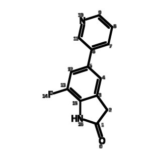 O=C1Cc2cc(-c3cccnc3)cc(F)c2N1